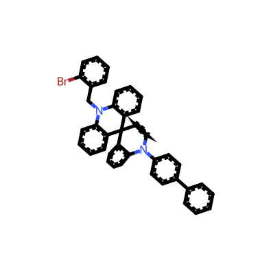 Brc1ccccc1CN1c2ccccc2C2(c3ccccc31)c1ccccc1N(c1ccc(-c3ccccc3)cc1)c1ccccc12